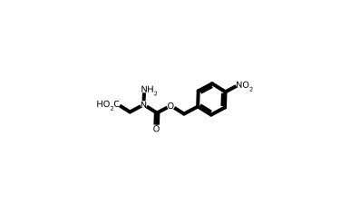 NN(CC(=O)O)C(=O)OCc1ccc([N+](=O)[O-])cc1